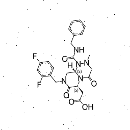 CN1CC(=O)N2[C@@H](CC(=O)O)C(=O)N(Cc3ccc(F)cc3F)C[C@@H]2N1C(=O)NCc1ccccc1